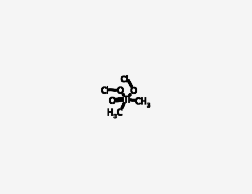 [CH3][Ti]([CH3])(=[O])([O]Cl)[O]Cl